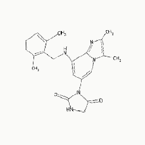 Cc1cccc(C)c1CNc1cc(N2C(=O)CNC2=O)cn2c(C)c(C)nc12